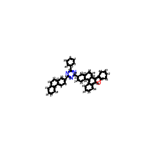 c1ccc(-c2nc(-c3ccc4c(ccc5ccccc54)c3)nc(-c3ccc4c(ccc5c4c4ccccc4c4oc6ccccc6c54)c3)n2)cc1